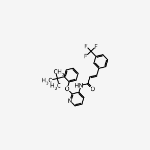 CC(C)(C)c1ccccc1Oc1ncccc1NC(=O)C=Cc1cccc(C(F)(F)F)c1